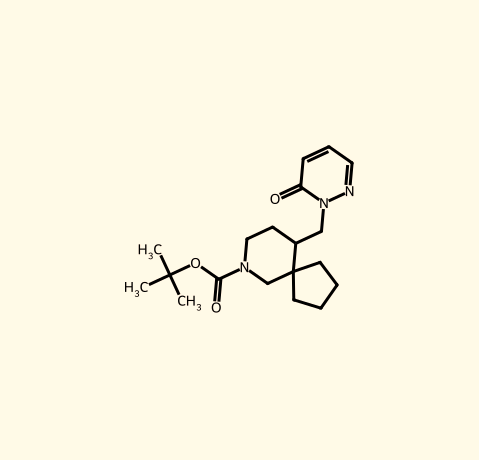 CC(C)(C)OC(=O)N1CCC(Cn2ncccc2=O)C2(CCCC2)C1